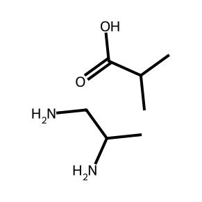 CC(C)C(=O)O.CC(N)CN